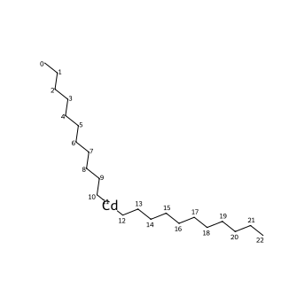 CCCCCCCCCC[CH2][Cd][CH2]CCCCCCCCCC